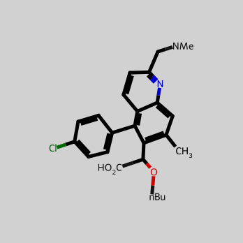 CCCCOC(C(=O)O)c1c(C)cc2nc(CNC)ccc2c1-c1ccc(Cl)cc1